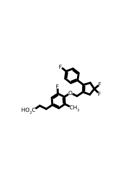 Cc1cc(CCC(=O)O)cc(F)c1OCC1=C(c2ccc(F)cc2)CC(F)(F)C1